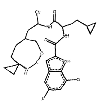 N#CC(CC1CCC2(CC2)NCOC1)NC(=O)C(CC1CC1)NC(=O)c1cc2cc(F)cc(Cl)c2[nH]1